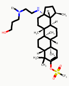 CCN(CCCO)CCN[C@]12CC[C@@H](C)[C@@H]1[C@H]1CC[C@@H]3[C@@]4(C)CC=C(OS(=O)(=O)C(F)(F)F)C(C)(C)[C@@H]4CC[C@@]3(C)[C@]1(C)CC2